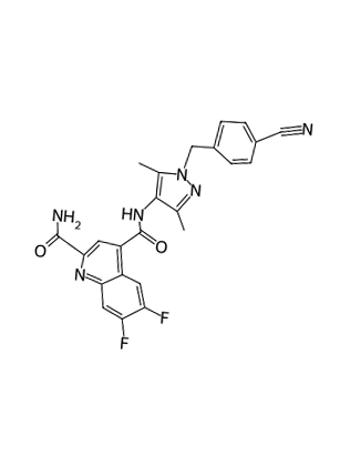 Cc1nn(Cc2ccc(C#N)cc2)c(C)c1NC(=O)c1cc(C(N)=O)nc2cc(F)c(F)cc12